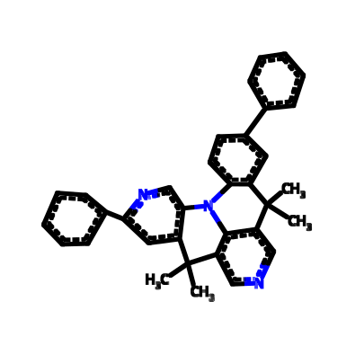 CC1(C)c2cc(-c3ccccc3)ccc2N2c3cnc(-c4ccccc4)cc3C(C)(C)c3cncc1c32